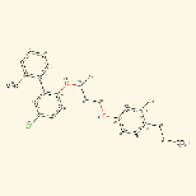 COc1ccccc1-c1cc(Cl)ccc1OC(C)CCOc1ccc(CCC(=O)O)c(C)c1